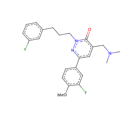 COc1ccc(-c2cc(CN(C)C)c(=O)n(CCCc3cccc(F)c3)n2)cc1F